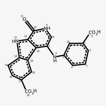 O=C(O)c1cccc(Nc2c[nH]c(=O)c3[nH]c4ccc(C(=O)O)cc4c23)c1